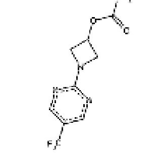 NC(=O)OC1CN(c2ncc(C(F)(F)F)cn2)C1